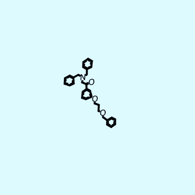 O=C(CN(Cc1ccccc1)Cc1ccccc1)c1cccc(OCCCOCc2ccccc2)c1